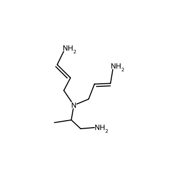 CC(CN)N(CC=CN)CC=CN